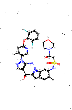 Cc1cc2cc(C(=O)c3cnn(-c4cnc(Oc5c(F)cccc5F)cc4C)c3N)[nH]c2cc1NS(=O)(=O)CC(=O)N1CCOCC1